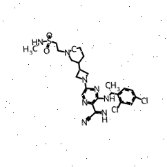 CNS(=O)(=O)CCN1CCCC(C2CN(c3cnc(C(=N)C#N)c(N[C@H](C)c4ccc(Cl)cc4Cl)n3)C2)C1